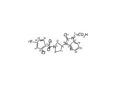 O=C(O)Cn1c(=O)n(C2CCN(S(=O)(=O)c3ccc(F)cc3Cl)C2)c2ncccc21